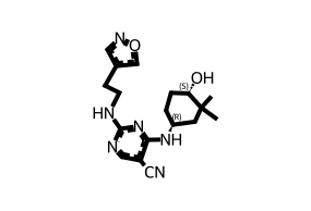 CC1(C)C[C@H](Nc2nc(NCCc3cnoc3)ncc2C#N)CC[C@@H]1O